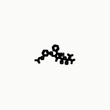 CC(C)COc1cccc(OCC2C(c3ccccc3)NC(C(=O)OC(=O)N(C(C)C)C(C)C)C2C)c1